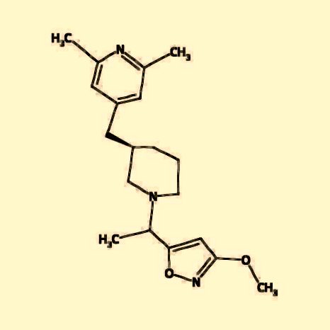 COc1cc(C(C)N2CCC[C@H](Cc3cc(C)nc(C)c3)C2)on1